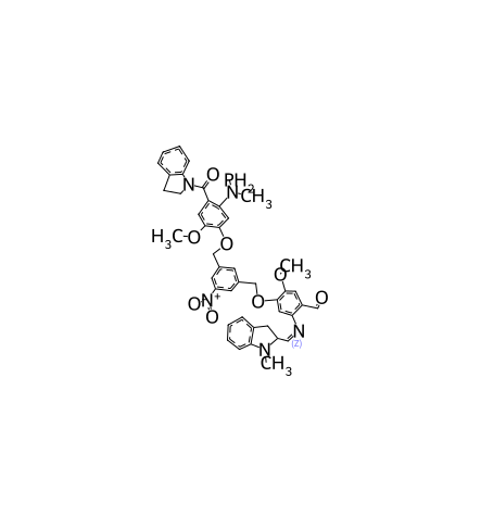 COc1cc(C=O)c(/N=C\C2Cc3ccccc3N2C)cc1OCc1cc(COc2cc(N(C)P)c(C(=O)N3CCc4ccccc43)cc2OC)cc([N+](=O)[O-])c1